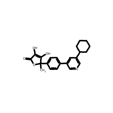 CC1(c2ccc(-c3cncc(C4CCCCC4)c3)cc2)OC(=O)C(O)=C1O